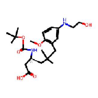 COc1ccc(NCCO)cc1CC(C)(C)C[C@@H](CC(=O)O)NC(=O)OC(C)(C)C